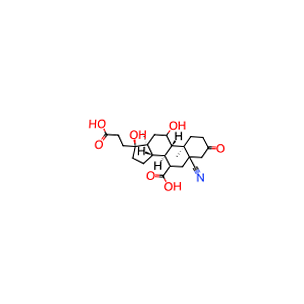 C[C@]12CC(O)[C@H]3[C@@H](C(C(=O)O)CC4(C#N)CC(=O)CC[C@]34C)[C@@H]1CC[C@]2(O)CCC(=O)O